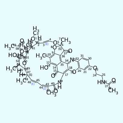 CO[C@H]1/C=C/O[C@@]2(C)Oc3c(C)c(O)c4c(=O)c(c5oc6cc(OCCNC(C)=O)ccc6nc-5c4c3C2=O)NC(=O)/C(C)=C\C=C\[C@H](C)[C@@H]2O[C@H]([C@H](O)[C@@H]2C)[C@H](OC(C)=O)[C@@H]1C